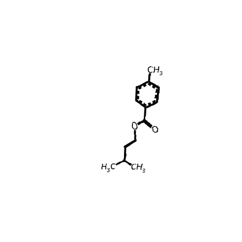 Cc1ccc(C(=O)OCCC(C)C)cc1